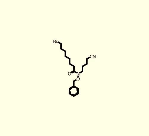 N#CCCCCN(OCc1ccccc1)C(=O)CCCCCCCBr